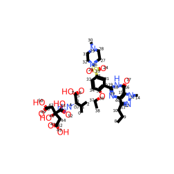 CC(C)[C@H](N)C(=O)O.CCCc1nn(C)c2c(=O)[nH]c(-c3cc(S(=O)(=O)N4CCN(C)CC4)ccc3OCC)nc12.O=C(O)CC(O)(CC(=O)O)C(=O)O